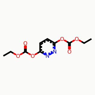 CCOC(=O)Oc1ccc(OC(=O)OCC)nn1